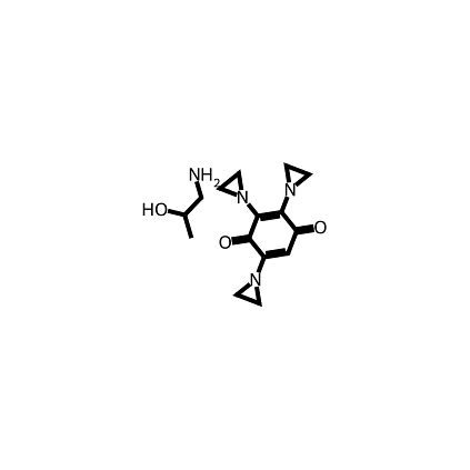 CC(O)CN.O=C1C=C(N2CC2)C(=O)C(N2CC2)=C1N1CC1